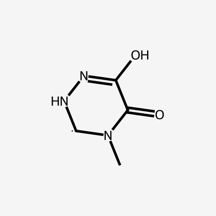 CN1[CH]NN=C(O)C1=O